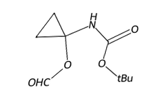 CC(C)(C)OC(=O)NC1(OC=O)CC1